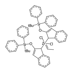 C[CH]=[Zr]([Cl])([Cl])([CH]1C(O[Si](c2ccccc2)(c2ccccc2)C(C)(C)C)=Cc2ccccc21)[CH]1C(O[Si](c2ccccc2)(c2ccccc2)C(C)(C)C)=Cc2ccccc21